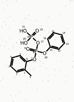 Cc1ccccc1OP(=O)(Oc1ccccc1)OP(=O)(O)O